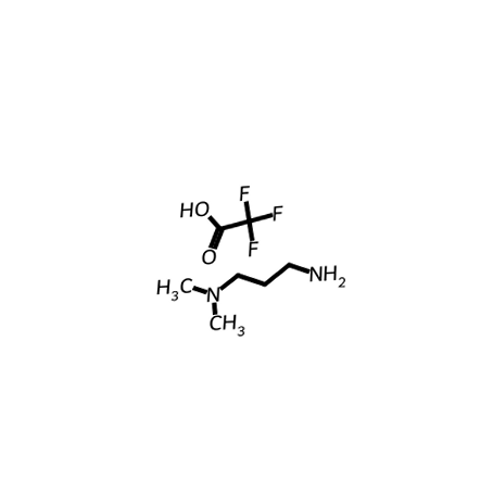 CN(C)CCCN.O=C(O)C(F)(F)F